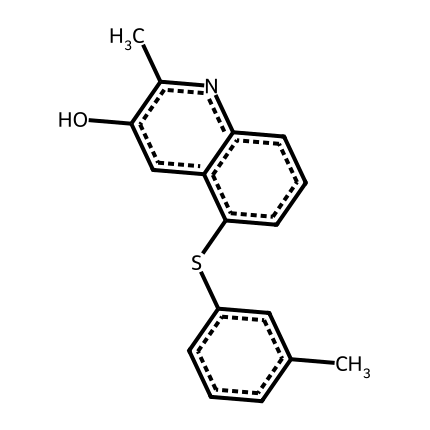 Cc1cccc(Sc2cccc3nc(C)c(O)cc23)c1